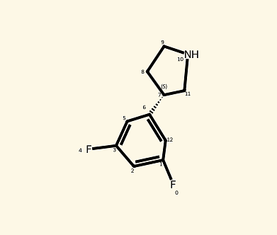 Fc1cc(F)cc([C@@H]2CCNC2)c1